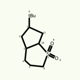 CC(C)(C)C1CC2CCCS(=O)(=O)C2C1